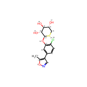 Cc1oncc1-c1ccc(Cl)c(O[C@@H]2SC[C@@H](O)[C@H](O)[C@H]2O)c1